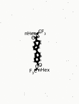 CCCCCC[C@H](OC(=O)c1ccc2cc(-c3ccc4cc(C(=O)O[C@@H](CCCCCC)C(F)(F)F)ccc4c3)ccc2c1)C(F)(F)F